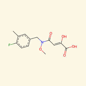 CON(Cc1ccc(F)c(C)c1)C(=O)C=C(O)C(=O)O